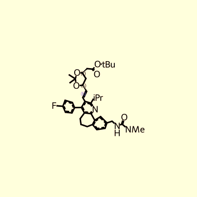 CNC(=O)NCc1ccc2c(c1)-c1nc(C(C)C)c(/C=C/[C@@H]3C[C@H](CC(=O)OC(C)(C)C)OC(C)(C)O3)c(-c3ccc(F)cc3)c1CCC2